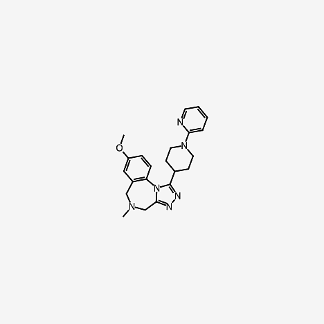 COc1ccc2c(c1)CN(C)Cc1nnc(C3CCN(c4ccccn4)CC3)n1-2